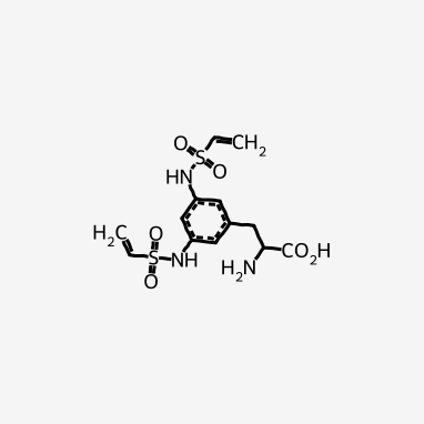 C=CS(=O)(=O)Nc1cc(CC(N)C(=O)O)cc(NS(=O)(=O)C=C)c1